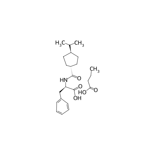 CC(C)[C@H]1CC[C@H](C(=O)N[C@H](Cc2ccccc2)C(=O)O)CC1.CCCC(=O)O